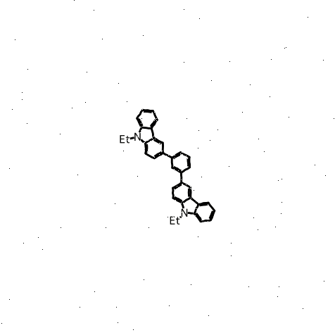 CCn1c2ccccc2c2cc(-c3cccc(-c4ccc5c(c4)c4ccccc4n5CC)c3)ccc21